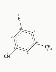 [C-]#[N+]c1cc(F)cc(C(F)(F)F)c1